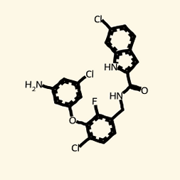 Nc1cc(Cl)cc(Oc2c(Cl)ccc(CNC(=O)c3cc4ccc(Cl)cc4[nH]3)c2F)c1